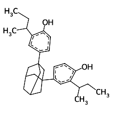 CCC(C)c1cc(C23CC4CC(C2)CC(c2ccc(O)c(C(C)CC)c2)(C4)C3)ccc1O